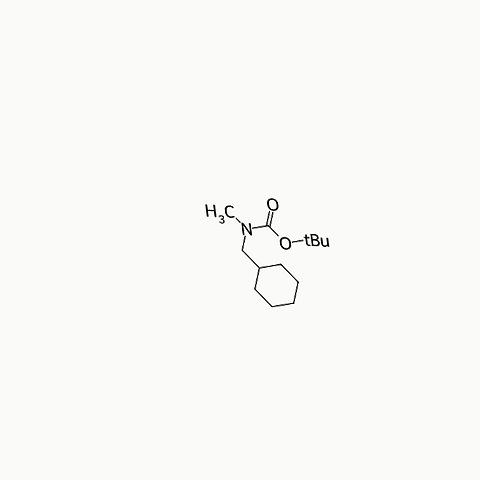 CN(CC1CCCCC1)C(=O)OC(C)(C)C